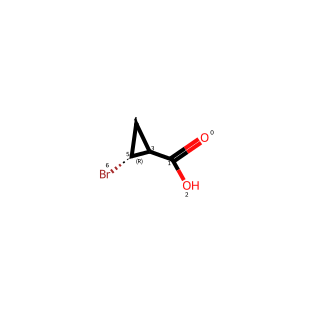 O=C(O)C1C[C@H]1Br